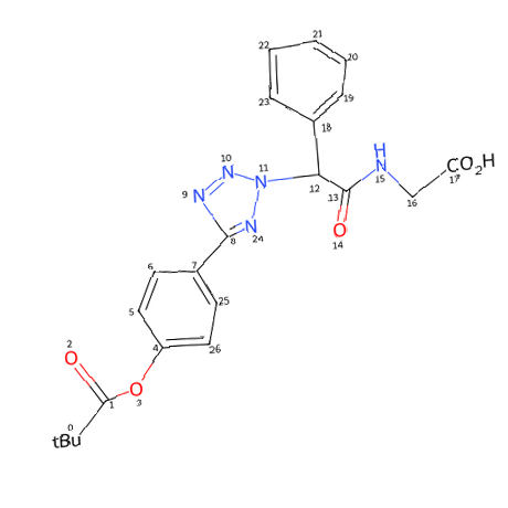 CC(C)(C)C(=O)Oc1ccc(-c2nnn(C(C(=O)NCC(=O)O)c3ccccc3)n2)cc1